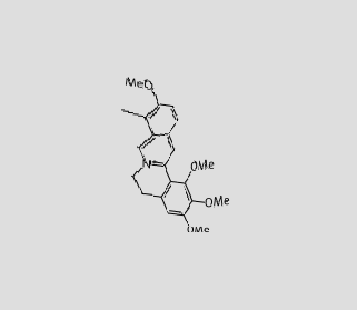 COc1cc2c(c(OC)c1OC)-c1cc3ccc(OC)c(C)c3c[n+]1CC2